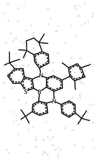 Cc1cc(C)c(-c2cc3c4c(c2)N(c2ccc5c(c2)C(C)(C)CCC5(C)C)c2c(sc5ccc(C(C)(C)C)cc25)B4c2cc(C(C)(C)C)ccc2N3c2ccc(C(C)(C)C)cc2)c(C)c1